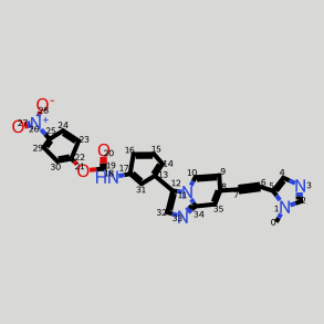 Cn1cncc1C#Cc1ccn2c(-c3cccc(NC(=O)Oc4ccc([N+](=O)[O-])cc4)c3)cnc2c1